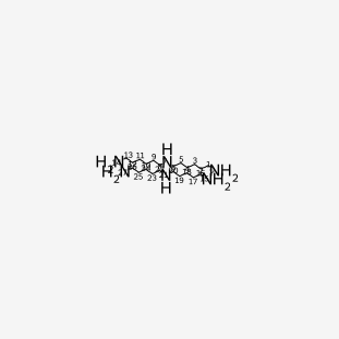 NCCCCCCNCCCCCCN.NCCCCCNCCCCCN